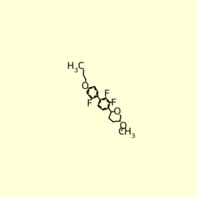 CCCCOc1ccc(-c2ccc(C3CCC(OC)CO3)c(F)c2F)c(F)c1